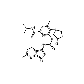 Cc1ccc2c(NC(=O)N3c4nc(C(=O)NC(C)C)cc(C)c4N4CC[C@H]3C4)n[nH]c2n1